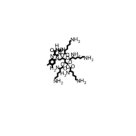 Cc1cc2nc3c(=O)[nH]c(=O)nc-3n(CC(OC(=O)C(N)CCCCN)C(OC(=O)C(N)CCCCN)C(COC(=O)C(N)CCCCN)OC(=O)C(N)CCCCN)c2cc1C